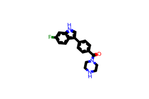 O=C(c1ccc(-c2c[nH]c3cc(F)ccc23)cc1)N1CCNCC1